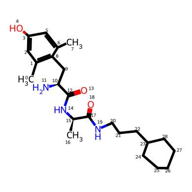 Cc1cc(O)cc(C)c1C[C@H](N)C(=O)N[C@H](C)C(=O)NCCCC1CCCCC1